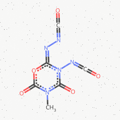 Cn1c(=O)o/c(=N/N=C=O)n(N=C=O)c1=O